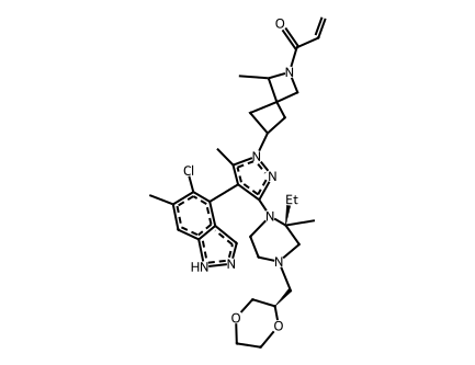 C=CC(=O)N1CC2(CC(n3nc(N4CCN(C[C@@H]5COCCO5)C[C@]4(C)CC)c(-c4c(Cl)c(C)cc5[nH]ncc45)c3C)C2)C1C